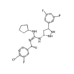 O=C(/N=C(/NC1CCCC1)NC1CC(c2cc(F)cc(F)c2)NN1)c1ccc(Cl)c(F)c1